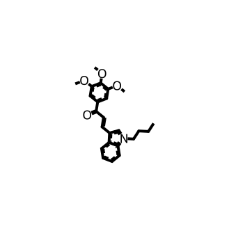 CCCCn1cc(C=CC(=O)c2cc(OC)c(OC)c(OC)c2)c2ccccc21